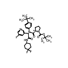 CC(C)(C)OC(=O)N1CCC[C@@H]1C(=O)N(c1ccc(C(C)(C)C)cc1)C(C(=O)NC1CCC(F)(F)CC1)c1cncc(F)c1